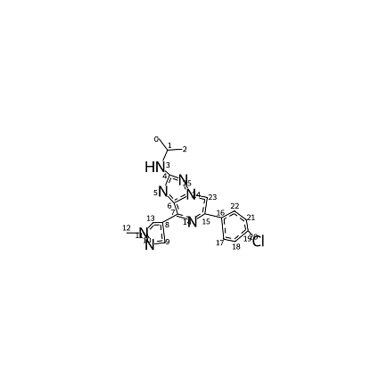 CC(C)Nc1nc2c(-c3cnn(C)c3)nc(-c3ccc(Cl)cc3)cn2n1